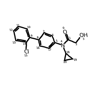 O=C(CO)N(c1ccc(-c2ccccc2Cl)cc1)C1CC1